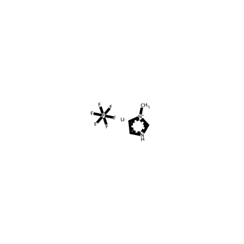 C[n+]1cc[nH]c1.F[P-](F)(F)(F)(F)F.[Li]